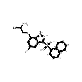 CCC(N)COc1cc(F)cc2c(S(=O)(=O)c3cccc4ccccc34)n[nH]c12